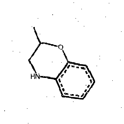 [CH2]C1CNc2ccccc2O1